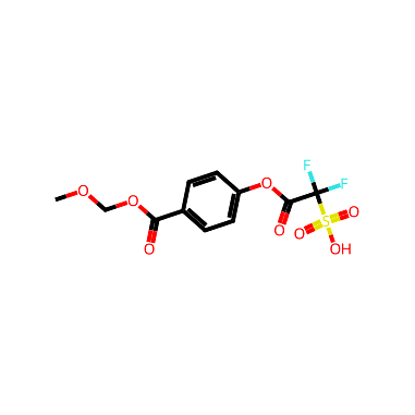 COCOC(=O)c1ccc(OC(=O)C(F)(F)S(=O)(=O)O)cc1